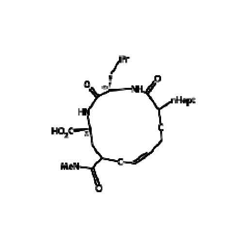 CCCCCCCC1CCC=CCC(C(=O)NC)C[C@@H](C(=O)O)NC(=O)[C@H](CC(C)C)NC1=O